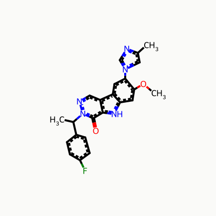 COc1cc2[nH]c3c(=O)n(C(C)c4ccc(F)cc4)ncc3c2cc1-n1cnc(C)c1